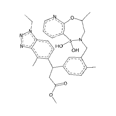 CCn1nnc2c(C)c(C(CC(=O)OC)c3ccc(C)c(CN4CC(C)Oc5ncccc5S4(O)O)c3)ccc21